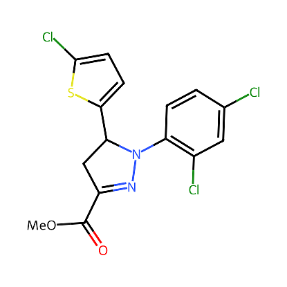 COC(=O)C1=NN(c2ccc(Cl)cc2Cl)C(c2ccc(Cl)s2)C1